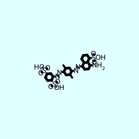 Cc1cc(N=Nc2ccc(N)c3c(S(=O)(=O)O)cccc23)c(C)cc1N=Nc1cc(S(=O)(=O)O)ccc1S(=O)(=O)O